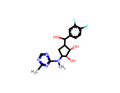 Cc1ncnc(N(C)C2CC(C(O)c3ccc(F)c(F)c3)[C@@H](O)[C@H]2O)n1